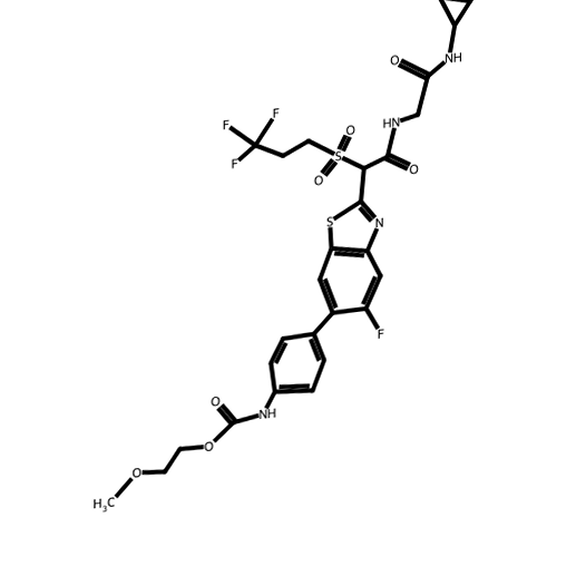 COCCOC(=O)Nc1ccc(-c2cc3sc(C(C(=O)NCC(=O)NC4CC4)S(=O)(=O)CCC(F)(F)F)nc3cc2F)cc1